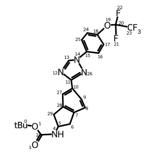 CC(C)(C)OC(=O)NC1Cc2ccc(-c3ncn(-c4ccc(OC(F)(F)C(F)(F)F)cc4)n3)cc2C1